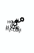 CC(C)(C)N(C(=O)O)[C@H]1Cc2c(cnn2Cc2ccccc2)N(O)C1=O